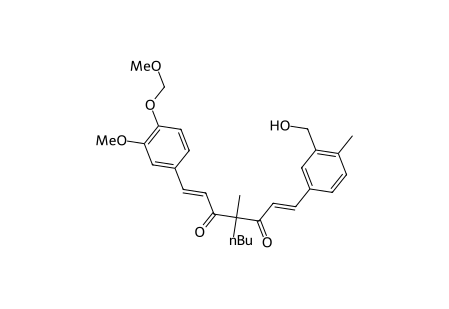 CCCCC(C)(C(=O)/C=C/c1ccc(C)c(CO)c1)C(=O)/C=C/c1ccc(OCOC)c(OC)c1